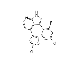 Fc1cc(Cl)ccc1-c1c[nH]c2nccc(-c3csc(Cl)c3)c12